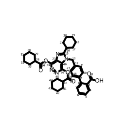 O=C(O)c1ccccc1-c1ccc(Cn2c(C3CCCCC3)nc3c(OC(=O)C4CCCCC4)nnc(OC(=O)C4CCCCC4)c32)cc1